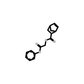 O=C(COC(=O)C1CC2C=CC1C2)Oc1ccccc1